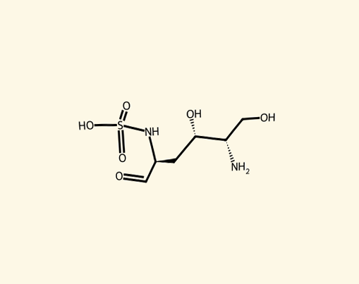 N[C@@H](CO)[C@@H](O)C[C@@H](C=O)NS(=O)(=O)O